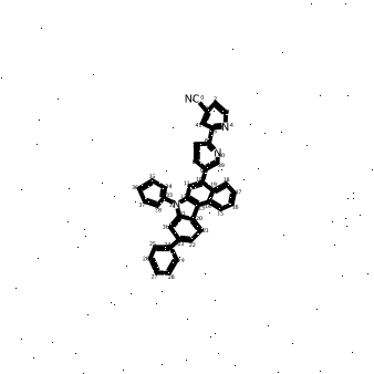 N#Cc1ccnc(-c2ccc(-c3cc4c(c5ccccc35)c3ccc(-c5ccccc5)cc3n4-c3ccccc3)cn2)c1